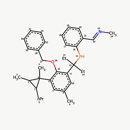 CCCC1C(C)C1(C)c1cc(C)cc(C(CC)(CC)Pc2ccccc2/C=N/C)c1OCc1ccccc1